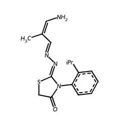 CC(=C/N)/C=N/N=C1\SCC(=O)N1c1ccccc1C(C)C